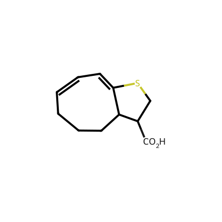 O=C(O)C1CSC2=CC=CCCCC21